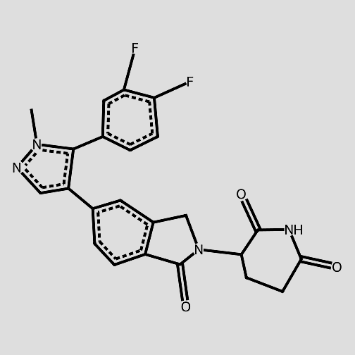 Cn1ncc(-c2ccc3c(c2)CN(C2CCC(=O)NC2=O)C3=O)c1-c1ccc(F)c(F)c1